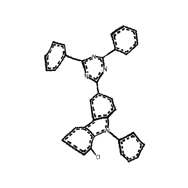 Clc1cccc2c3cc(-c4nc(-c5ccccc5)nc(-c5ccccc5)n4)ccc3n(-c3ccccc3)c12